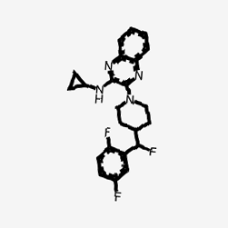 Fc1ccc(F)c(C(F)C2CCN(c3nc4ccccc4nc3NC3CC3)CC2)c1